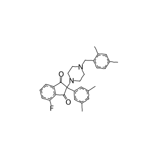 Cc1cc(C)cc(C2(N3CCN(Cc4ccc(C)cc4C)CC3)C(=O)c3cccc(F)c3C2=O)c1